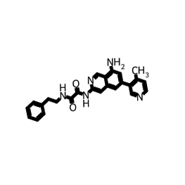 Cc1ccncc1-c1cc(N)c2cnc(NC(=O)C(=O)NCCc3ccccc3)cc2c1